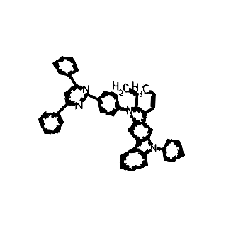 C=Cc1c(/C=C\C)c2cc3c(cc2n1-c1ccc(-c2nc(-c4ccccc4)cc(-c4ccccc4)n2)cc1)c1ccccc1n3-c1ccccc1